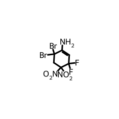 NC1=CC(F)(F)C([N+](=O)[O-])([N+](=O)[O-])CC1(Br)Br